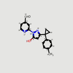 Cc1ccc(C2(c3cc(O)n(-c4cc(C=O)ccn4)n3)CC2)cc1